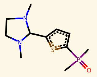 CN1CCN(C)C1c1ccc(P(C)(C)=O)s1